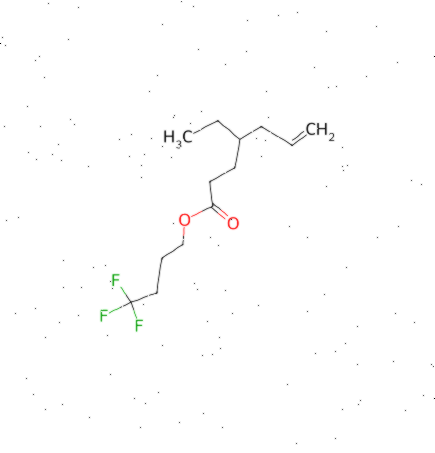 C=CCC(CC)CCC(=O)OCCCC(F)(F)F